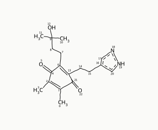 CC1=C(C)C(=O)C(CCC(C)(C)O)=C(CCc2cn[nH]c2)C1=O